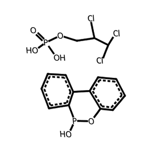 O=P(O)(O)OCC(Cl)C(Cl)Cl.OP1Oc2ccccc2-c2ccccc21